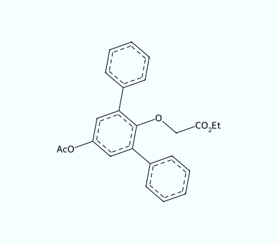 CCOC(=O)COc1c(-c2ccccc2)cc(OC(C)=O)cc1-c1ccccc1